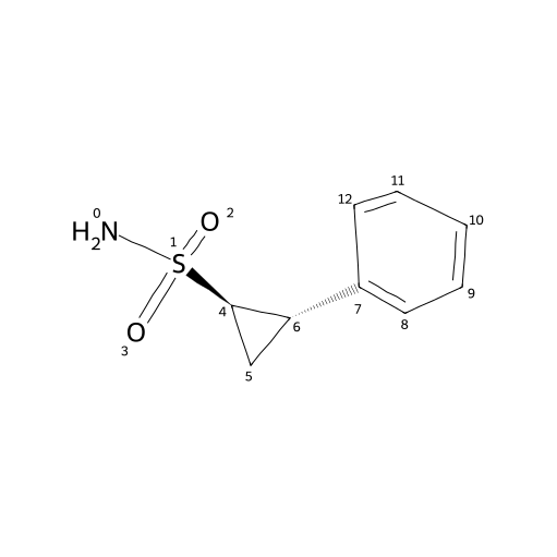 NS(=O)(=O)[C@@H]1C[C@H]1c1ccccc1